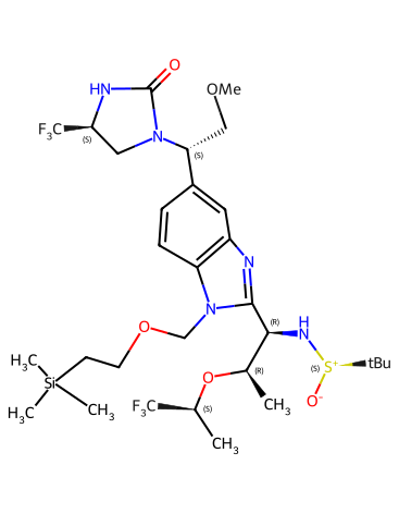 COC[C@H](c1ccc2c(c1)nc([C@@H](N[S@+]([O-])C(C)(C)C)[C@@H](C)O[C@@H](C)C(F)(F)F)n2COCC[Si](C)(C)C)N1C[C@@H](C(F)(F)F)NC1=O